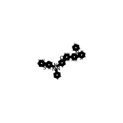 c1ccc(-c2nc(-c3ccc4c(c3)oc3ccc(-c5ccc6c7ccccc7n(-c7ccccc7)c6c5)cc34)nc(-c3ccc4c(c3)sc3ccccc34)n2)cc1